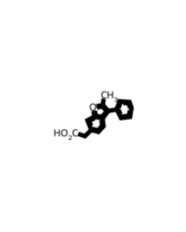 Cc1oc2cc(CC(=O)O)ccc2c1-c1ccccc1